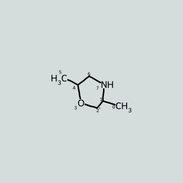 CC1[CH]OC(C)CN1